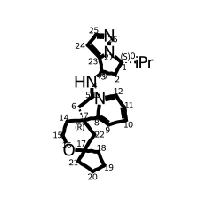 CC(C)[C@@H]1C[C@@H](NCC[C@@]2(c3ccccn3)CCOC3(CCCC3)C2)c2ccnn21